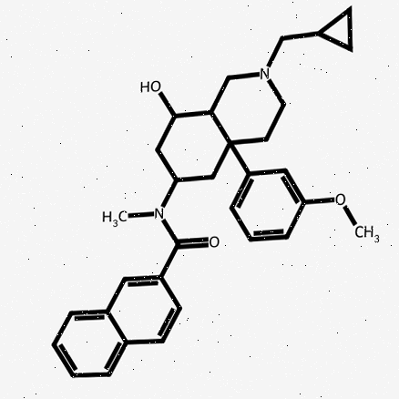 COc1cccc(C23CCN(CC4CC4)CC2C(O)CC(N(C)C(=O)c2ccc4ccccc4c2)C3)c1